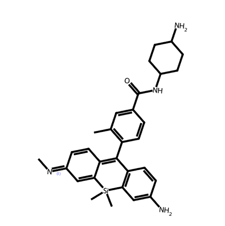 C/N=C1\C=CC2=C(c3ccc(C(=O)NC4CCC(N)CC4)cc3C)c3ccc(N)cc3[Si](C)(C)C2=C1